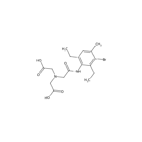 CCc1cc(C)c(Br)c(CC)c1NC(=O)CN(CC(=O)O)CC(=O)O